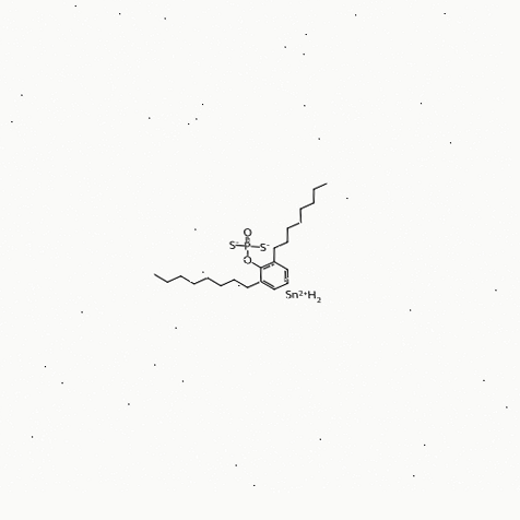 CCCCCCCCc1cccc(CCCCCCCC)c1OP(=O)([S-])[S-].[SnH2+2]